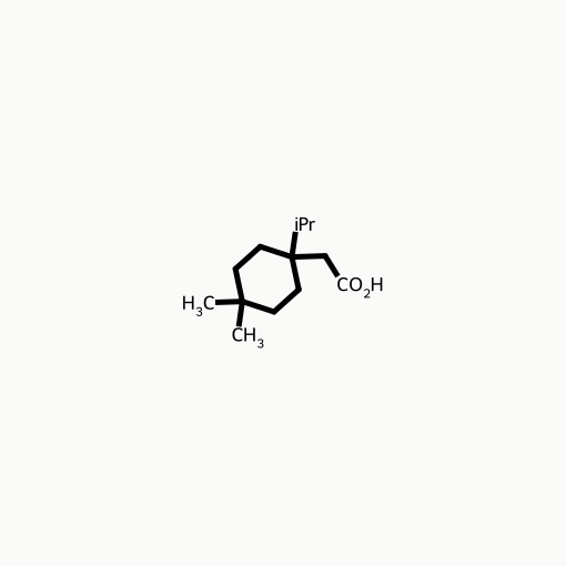 CC(C)C1(CC(=O)O)CCC(C)(C)CC1